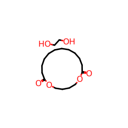 O=C1CCCCCCCCCCC(=O)OCCCCO1.OCCO